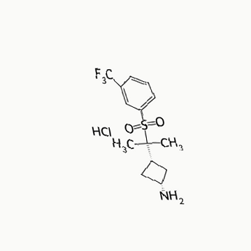 CC(C)([C@H]1C[C@@H](N)C1)S(=O)(=O)c1cccc(C(F)(F)F)c1.Cl